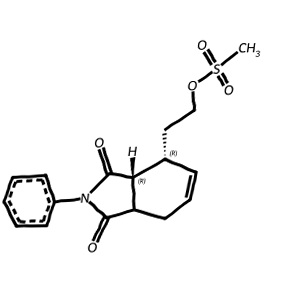 CS(=O)(=O)OCC[C@@H]1C=CCC2C(=O)N(c3ccccc3)C(=O)[C@@H]21